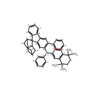 CC1(C)CCC(C)(C)c2cc(N(c3ccccc3)c3cc4c(cc3-c3ccccc3)-c3ccccc3C43C4CC5CC(C4)C3C5)ccc21